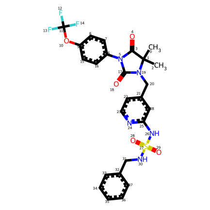 CC1(C)C(=O)N(c2ccc(OC(F)(F)F)cc2)C(=O)N1Cc1ccnc(NS(=O)(=O)NCc2ccccc2)c1